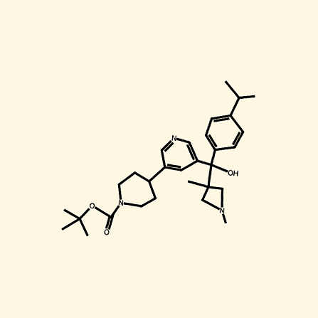 CC(C)c1ccc(C(O)(c2cncc(C3CCN(C(=O)OC(C)(C)C)CC3)c2)C2(C)CN(C)C2)cc1